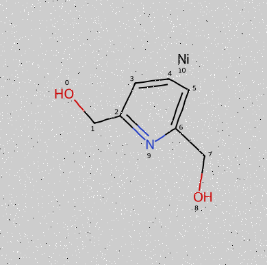 OCc1cccc(CO)n1.[Ni]